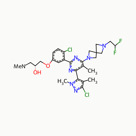 CNC[C@@H](O)COc1ccc(Cl)c(-c2nc(-c3c(C)c(Cl)nn3C)c(C)c(N3CC4(CN(CC(F)F)C4)C3)n2)c1